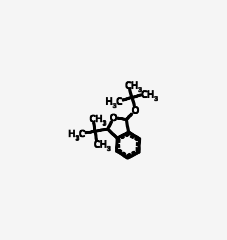 CC(C)(C)OC1OC(C(C)(C)C)c2ccccc21